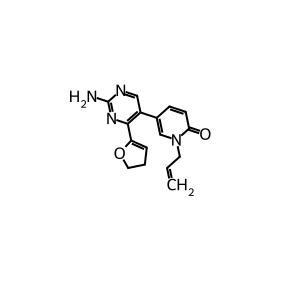 C=CCn1cc(-c2cnc(N)nc2C2=CCCO2)ccc1=O